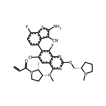 C=CC(=O)N1CC[C@@H](N(C)c2nc(OC[C@@H]3CCCN3C)nc3c(F)c(-c4ccc(F)c5sc(N)c(C#N)c45)c(Cl)cc23)[C@H]1C